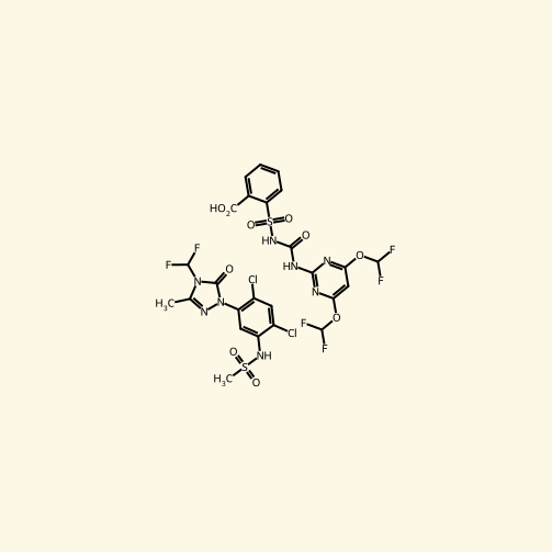 Cc1nn(-c2cc(NS(C)(=O)=O)c(Cl)cc2Cl)c(=O)n1C(F)F.O=C(Nc1nc(OC(F)F)cc(OC(F)F)n1)NS(=O)(=O)c1ccccc1C(=O)O